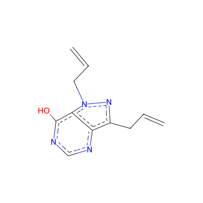 C=CCc1nn(CC=C)c2c(O)ncnc12